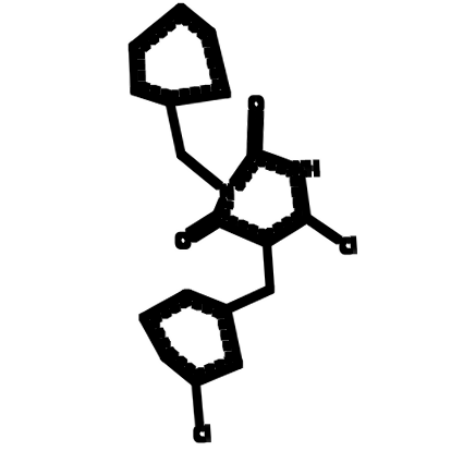 O=c1[nH]c(Cl)c(Cc2cccc(Cl)c2)c(=O)n1Cc1ccccc1